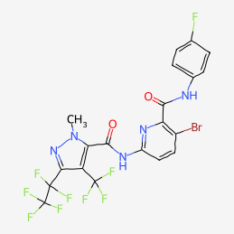 Cn1nc(C(F)(F)C(F)(F)F)c(C(F)(F)F)c1C(=O)Nc1ccc(Br)c(C(=O)Nc2ccc(F)cc2)n1